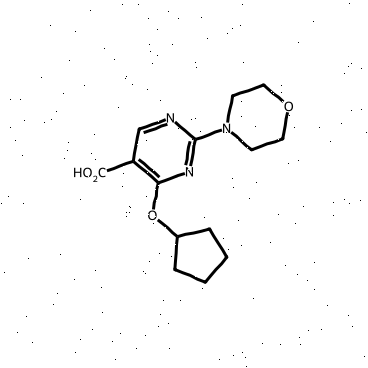 O=C(O)c1cnc(N2CCOCC2)nc1OC1CCCC1